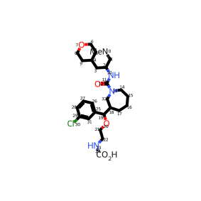 CNCC(CC1CCOCC1)NC(=O)N1CCCCC(C(OCCNC(=O)O)c2cccc(Cl)c2)C1